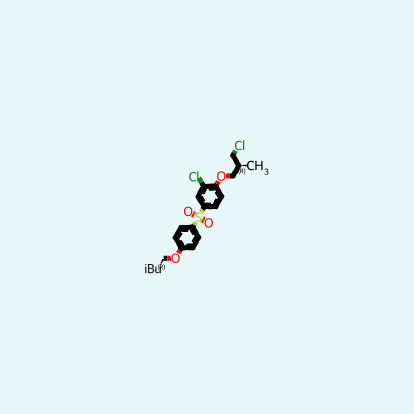 CC[C@@H](C)COc1ccc(S(=O)(=O)c2ccc(OC[C@@H](C)CCl)c(Cl)c2)cc1